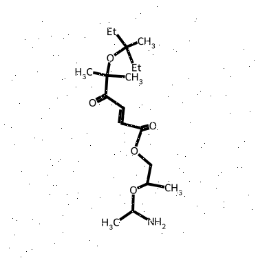 CCC(C)(CC)OC(C)(C)C(=O)/C=C/C(=O)OCC(C)OC(C)N